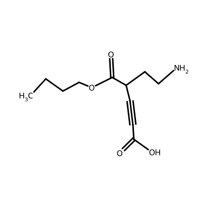 CCCCOC(=O)C(C#CC(=O)O)CCN